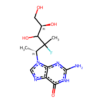 C[C@@H](n1cnc2c(=O)[nH]c(N)nc21)C(C)(F)C(O)[C@H](O)CO